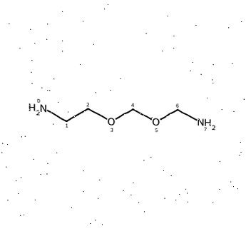 NCCOCOCN